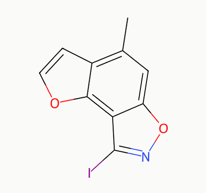 Cc1cc2onc(I)c2c2occc12